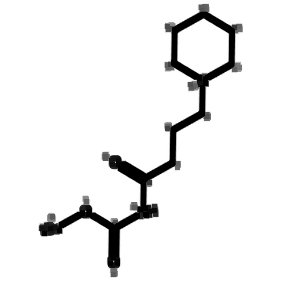 CC(C)(C)OC(=O)NC(=O)CCCN1CCCCC1